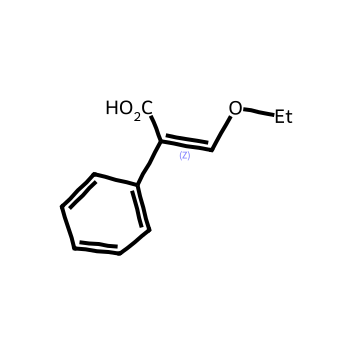 CCO/C=C(\C(=O)O)c1ccccc1